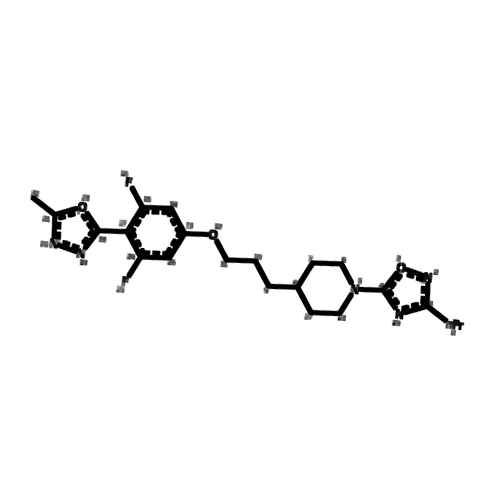 CCCc1noc(N2CCC(CCCOc3cc(F)c(-c4nnc(C)o4)c(F)c3)CC2)n1